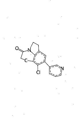 O=C1CCc2c(Cl)c(-c3cccnc3)cc3c2N1CC3